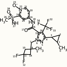 CC1CC1c1nn(CC2(C)CC(F)(F)C2)c(C(=O)Nc2cc[n+]([O-])c(S(C)(=N)=O)c2)c1C(F)(F)F